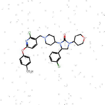 O=C(O)c1ccc(Oc2ccc(CN3CCC(N4C(=O)N(C5CCOCC5)CC4c4cccc(Cl)c4)CC3)c(Cl)n2)cc1